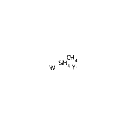 C.[SiH4].[W].[Y]